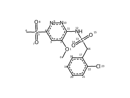 COc1cc(S(C)(=O)=O)nnc1NS(=O)(=O)Cc1ccccc1Cl